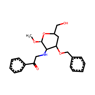 CO[C@H]1OC(CO)CC(OCc2ccccc2)C1NCC(=O)c1ccccc1